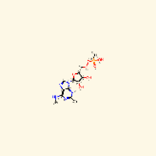 CCc1nc(NC(C)C)c2ncn([C@@H]3O[C@H](COOP(C)(=O)O)[C@@H](O)[C@H]3O)c2n1